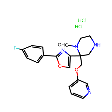 Cl.Cl.O=CN1CCNCC1(COc1cccnc1)c1coc(-c2ccc(F)cc2)n1